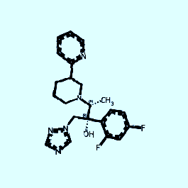 C[C@@H](N1CCCC(c2ccccn2)C1)[C@](O)(Cn1cncn1)c1ccc(F)cc1F